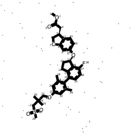 COC(=O)C[C@@H]1COc2cc(O[C@@H]3CCc4c(-c5c(C)cc(OCC(C)(C)CS(C)(=O)=O)cc5C)ccc(F)c43)ccc21